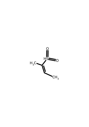 CC=C(C)[SH](=O)=O